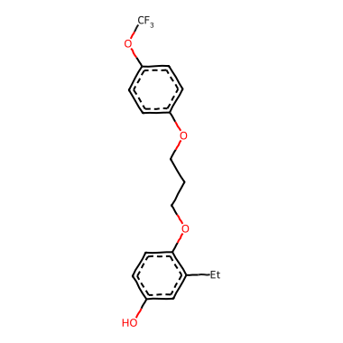 CCc1cc(O)ccc1OCCCOc1ccc(OC(F)(F)F)cc1